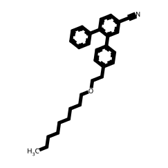 CCCCCCCCCOCCc1ccc(-c2cc(C#N)ccc2-c2ccccc2)cc1